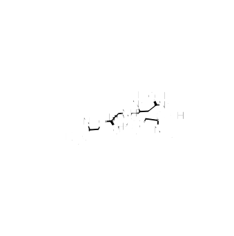 NC(=O)CC(N)C(=O)O.NC(CC(=O)O)C(=O)O.NCC(=O)OCC(N)C(=O)O